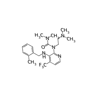 Cc1ccccc1CNc1c(C(F)(F)F)ccnc1N(CCN(C)C)C(=O)N(C)C